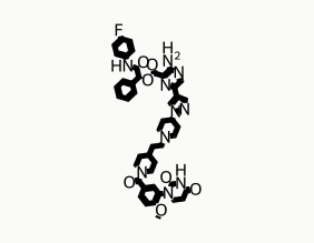 COc1ccc(C(=O)N2CCC(CCN3CCC(n4cc(-c5cnc(N)c(C(=O)O[C@@H](C(=O)Nc6ccc(F)cc6)c6ccccc6)n5)cn4)CC3)CC2)cc1N1CCC(=O)NC1=O